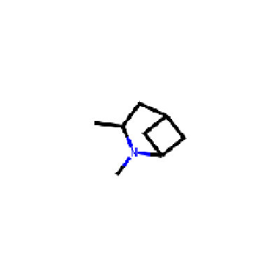 CC1CC2CC(C2)N1C